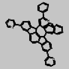 c1ccc(-c2cc(C3c4ccc(-c5ccccn5)cc4-c4ccc5c(c43)C(c3ccccc3)c3ccc(-c4ccccn4)cc3-5)cc(-c3ccccc3)n2)cc1